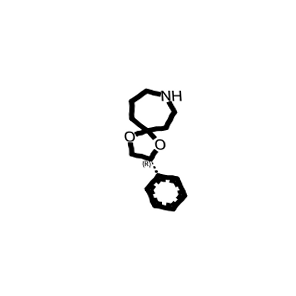 c1ccc([C@@H]2COC3(CCCNCC3)O2)cc1